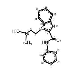 CN(C)CCn1c(C(=O)Nc2ccccn2)nc2ccccc21